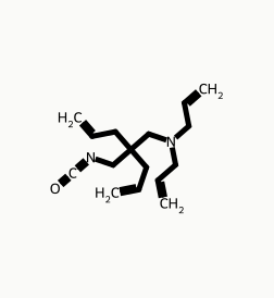 C=CCN(CC=C)CC(CC=C)(CC=C)CN=C=O